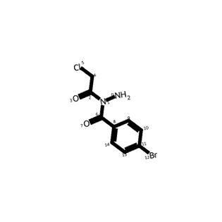 NN(C(=O)CCl)C(=O)c1ccc(Br)cc1